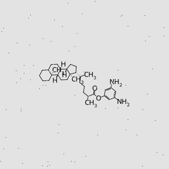 CC(CCCC(C)[C@H]1CC[C@H]2[C@@H]3CCC4CCCC[C@]4(C)[C@H]3CC[C@]12C)C(=O)Oc1cc(N)cc(N)c1